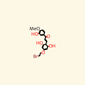 COc1ccc(C(=O)C=CC2C(O)=CC(OCCBr)=CC2O)cc1O